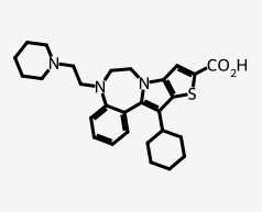 O=C(O)c1cc2c(s1)c(C1CCCCC1)c1n2CCN(CCN2CCCCC2)c2ccccc2-1